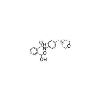 O=C(O)c1ccccc1C(=O)Nc1ccc(CN2CCOCC2)cc1